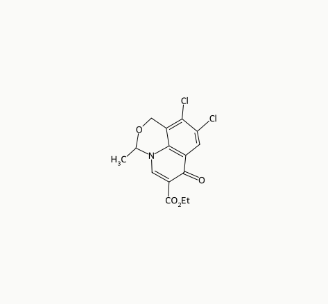 CCOC(=O)c1cn2c3c(c(Cl)c(Cl)cc3c1=O)COC2C